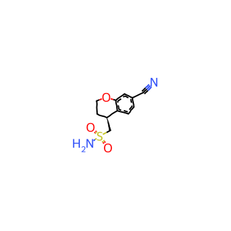 N#Cc1ccc2c(c1)OCC[C@@H]2CS(N)(=O)=O